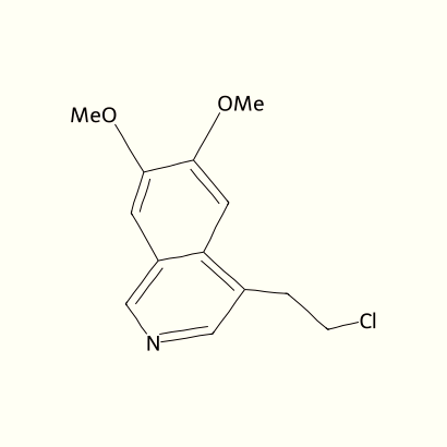 COc1cc2cncc(CCCl)c2cc1OC